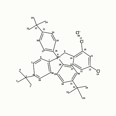 CC(C)(C)c1ccc([P+](Cc2ccc(Cl)cc2Cl)(c2ccc(C(C)(C)C)cc2)c2ccc(C(C)(C)C)cc2)cc1.[Cl-]